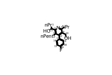 CCCCCc1c(C(O)CCC)nc(C(C)C)c(CO)c1-c1ccc(F)cc1